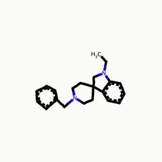 CCN1CC2(CCN(Cc3ccccc3)CC2)c2ccccc21